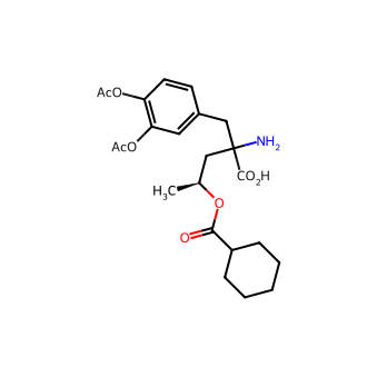 CC(=O)Oc1ccc(CC(N)(C[C@H](C)OC(=O)C2CCCCC2)C(=O)O)cc1OC(C)=O